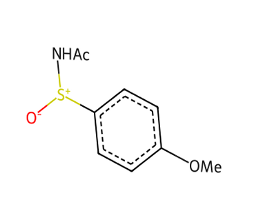 COc1ccc([S+]([O-])NC(C)=O)cc1